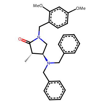 COc1ccc(CN2C[C@@H](N(Cc3ccccc3)Cc3ccccc3)[C@H](C)C2=O)c(OC)c1